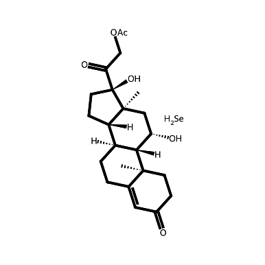 CC(=O)OCC(=O)[C@@]1(O)CC[C@H]2[C@@H]3CCC4=CC(=O)CC[C@]4(C)[C@H]3[C@@H](O)C[C@@]21C.[SeH2]